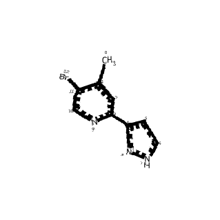 Cc1cc(-c2cc[nH]n2)ncc1Br